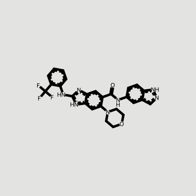 O=C(Nc1ccc2[nH]ncc2c1)c1cc2nc(Nc3ccccc3C(F)(F)F)[nH]c2cc1N1CCOCC1